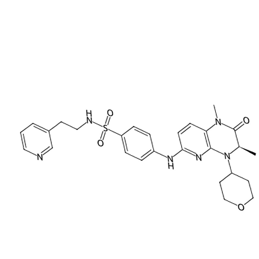 C[C@@H]1C(=O)N(C)c2ccc(Nc3ccc(S(=O)(=O)NCCc4cccnc4)cc3)nc2N1C1CCOCC1